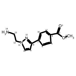 COC(=O)c1ccc(-c2ccn(CCN)n2)cc1